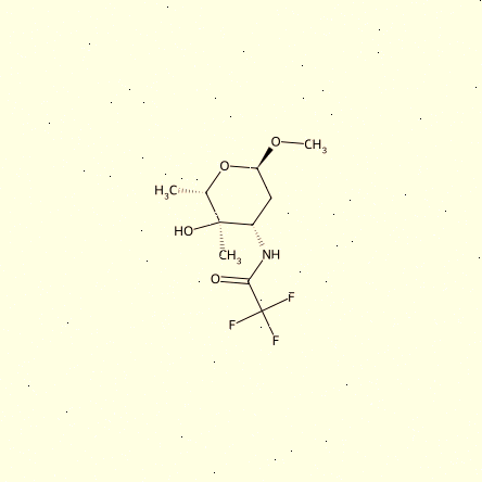 CO[C@H]1C[C@H](NC(=O)C(F)(F)F)[C@@](C)(O)[C@H](C)O1